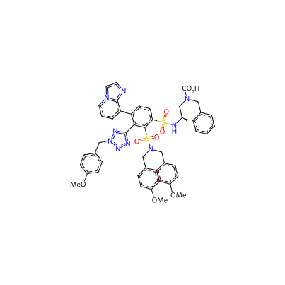 COc1ccc(CN(Cc2ccc(OC)cc2)S(=O)(=O)c2c(S(=O)(=O)N[C@H](C)CN(Cc3ccccc3)C(=O)O)ccc(-c3cccn4ccnc34)c2-c2nnn(Cc3ccc(OC)cc3)n2)cc1